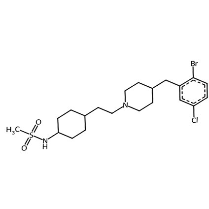 CS(=O)(=O)NC1CCC(CCN2CCC(Cc3cc(Cl)ccc3Br)CC2)CC1